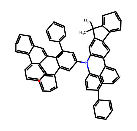 CC1(C)c2ccccc2-c2cc(-c3ccccc3)c(N(c3ccc(-c4ccccc4)cc3)c3cc(-c4ccccc4)c(-c4cc5ccccc5c5ccccc45)c(-c4ccccc4)c3)cc21